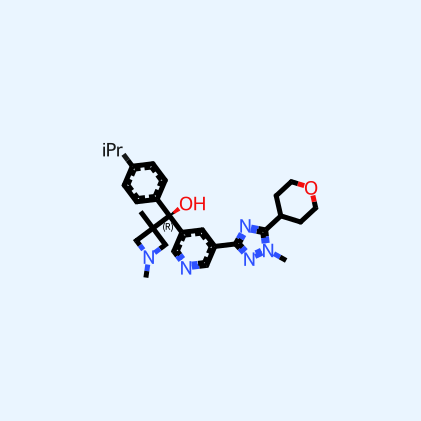 CC(C)c1ccc([C@](O)(c2cncc(-c3nc(C4CCOCC4)n(C)n3)c2)C2(C)CN(C)C2)cc1